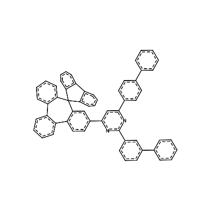 c1ccc(-c2ccc(-c3cc(-c4ccc5c(c4)C4(c6ccccc6-c6ccccc6-5)c5ccccc5-c5ccccc54)nc(-c4cccc(-c5ccccc5)c4)n3)cc2)cc1